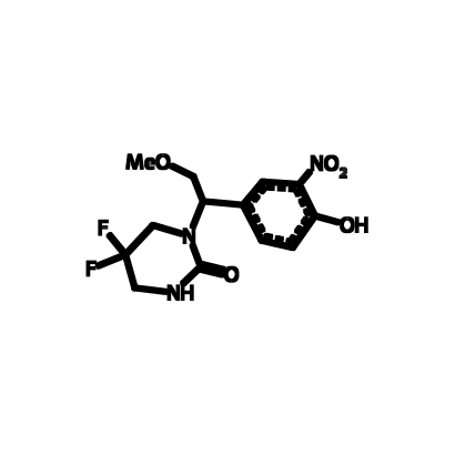 COCC(c1ccc(O)c([N+](=O)[O-])c1)N1CC(F)(F)CNC1=O